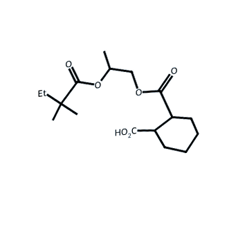 CCC(C)(C)C(=O)OC(C)COC(=O)C1CCCCC1C(=O)O